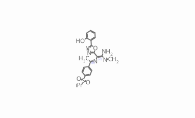 C=N/C(N)=C(\N=C(/C)c1ccc(S(=O)(=O)C(C)C)cc1)c1nnc(-c2ccccc2O)o1